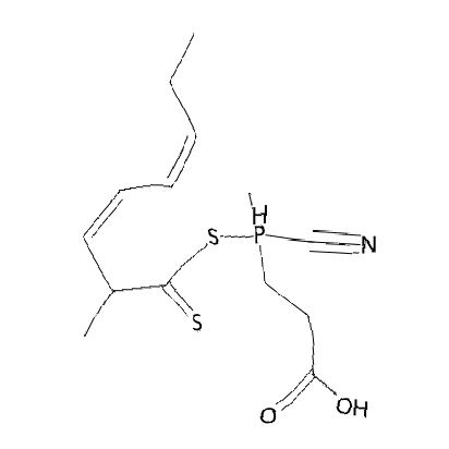 CC/C=C\C=C/C(C)C(=S)S[PH](C)(C#N)CCC(=O)O